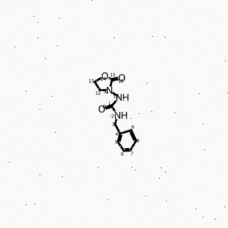 O=C(NCc1ccccc1)NN1CCOC1=O